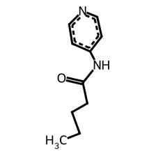 CCCCC(=O)Nc1ccncc1